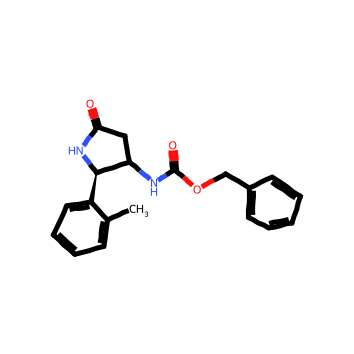 Cc1ccccc1[C@H]1NC(=O)CC1NC(=O)OCc1ccccc1